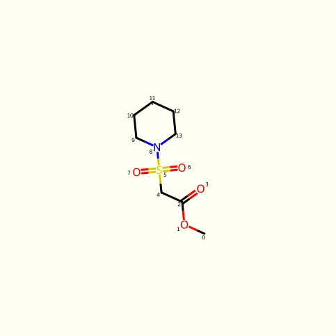 COC(=O)CS(=O)(=O)N1CC[CH]CC1